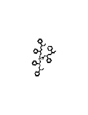 CCC(CCC(CC[As](CCC(CCC(CC)c1ccccc1)c1ccccc1)CCC(CCC(CC)c1ccccc1)c1ccccc1)c1ccccc1)c1ccccc1